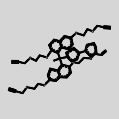 C#CCOCCOc1ccc2c(C(C)(c3ccc(-c4ccccc4)cc3)c3c(OCCOCC=C)ccc4cc(OCCOCC#C)ccc34)c(OCCOCC#C)ccc2c1